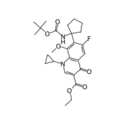 CCOC(=O)c1cn(C2CC2)c2c(OC)c(C3(NC(=O)OC(C)(C)C)CCCC3)c(F)cc2c1=O